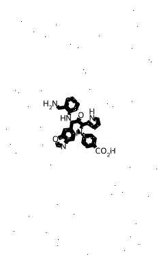 NCc1ccccc1NC(C(=O)C(c1ccc[nH]1)N(F)c1ccc(C(=O)O)cc1)c1ccc2ncoc2c1